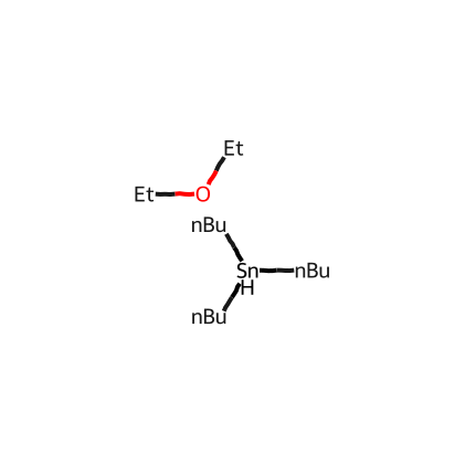 CCC[CH2][SnH]([CH2]CCC)[CH2]CCC.CCOCC